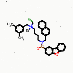 CC[N+](CBr)(CCCCN(Cc1ccc2ccccc2c1)[S+]([O-])c1ccc2oc3ccccc3c2c1)Cc1cc(C)cc(C)c1